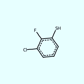 Fc1c(S)cccc1Cl